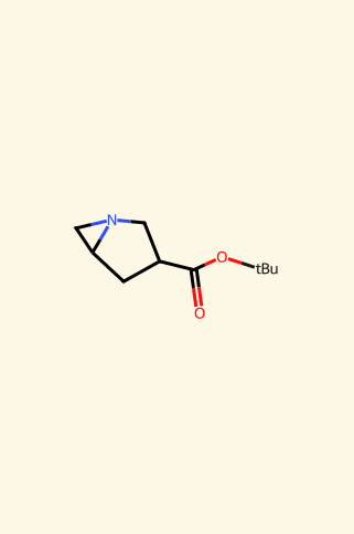 CC(C)(C)OC(=O)C1CC2CN2C1